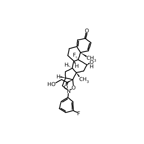 C[C@]12C=CC(=O)C=C1CC[C@H]1[C@@H]3C[C@H]4CN(c5cccc(F)c5)O[C@@]4(C(=O)CO)[C@@]3(C)C[C@H](O)[C@@]12F